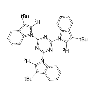 [2H]c1c(C(C)(C)C)c2ccccc2n1-c1nc(-n2c([2H])c(C(C)(C)C)c3ccccc32)nc(-n2c([2H])c(C(C)(C)C)c3ccccc32)n1